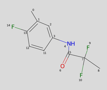 Cc1cc(NC(=O)C(C)(F)F)ccc1F